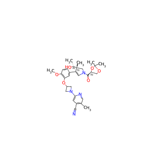 COc1ccc(C2=CN(C(=O)[C@@H]3COC(C)(C)O3)C[C@@]2(C)[C@@H](C)O)cc1OC1CN(c2cc(C#N)c(C)cn2)C1